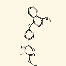 C[C@H](NC(=O)c1ccc(Oc2ccc(N)c3ccccc23)cc1)C(=O)OC(C)(C)C